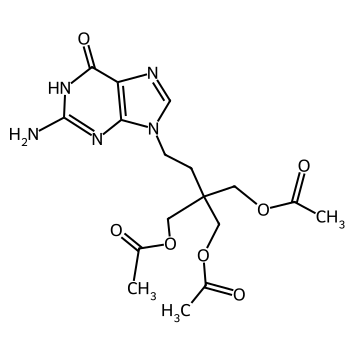 CC(=O)OCC(CCn1cnc2c(=O)[nH]c(N)nc21)(COC(C)=O)COC(C)=O